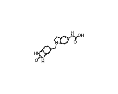 O=C(O)Nc1ccc2c(c1)CCN2Cc1ccc2[nH]c(=O)[nH]c2c1